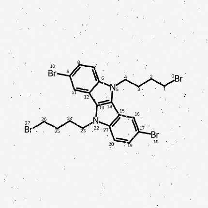 BrCCCCn1c2ccc(Br)cc2c2c1c1cc(Br)ccc1n2CCCCBr